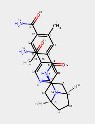 Cc1cc(C(=O)N[C@H]2C[C@H]3CC[C@@H](C2)N3c2ccc(C(N)=O)cn2)c(C)cc1C(N)=O